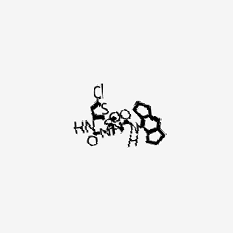 O=C(N=S1(=O)NC(=O)Nc2cc(Cl)sc21)Nc1c2c(cc3c1CCC3)CCC2